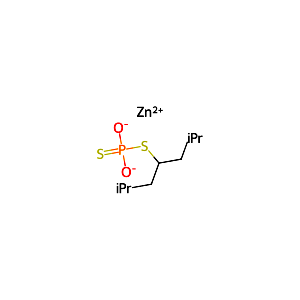 CC(C)CC(CC(C)C)SP([O-])([O-])=S.[Zn+2]